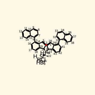 Br.CC1=Cc2c(-c3cccc4ccccc34)cccc2[CH]1[Hf]([CH3])([CH3])(=[SiH2])[CH]1C(C)=Cc2c(-c3cccc4ccccc34)cccc21.Cl